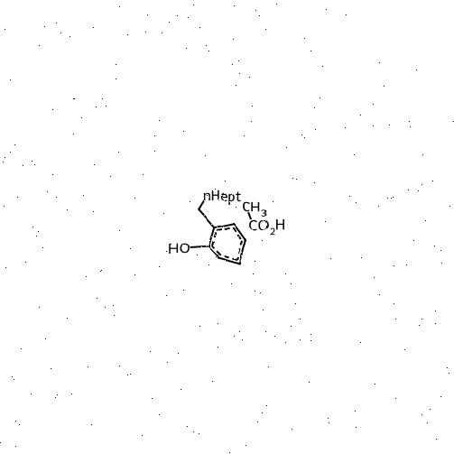 CC(=O)O.CCCCCCCCc1ccccc1O